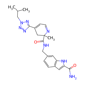 CC(C)Cn1nnc(C2=CC=NC(C)(C(=O)NCc3ccc4cc(C(N)=O)[nH]c4c3)C2)n1